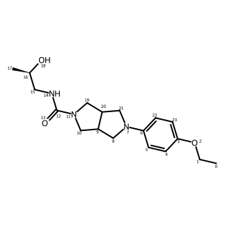 CCOc1ccc(N2CC3CN(C(=O)NC[C@@H](C)O)CC3C2)cc1